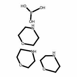 C1COCCN1.C1COCCN1.C1COCCN1.OB(O)O